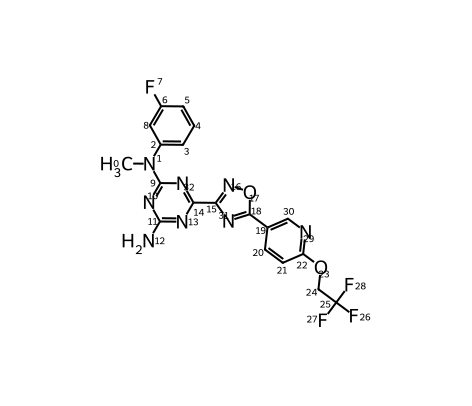 CN(c1cccc(F)c1)c1nc(N)nc(-c2noc(-c3ccc(OCC(F)(F)F)nc3)n2)n1